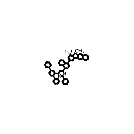 CC1(C)c2ccc(-c3ccc(-c4cc(-c5cc(-c6ccccc6)ccc5-c5ccccc5)nc(-c5ccccc5)n4)c4ccccc34)cc2-c2cc3ccccc3cc21